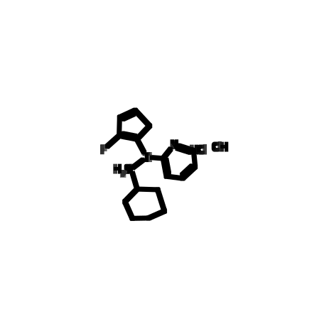 Cl.Cl.FC1=[C]([Ti]([SiH2]C2CCCCC2)[c]2ccccn2)CC=C1